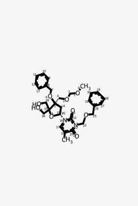 COCOC[C@]1(OCc2ccccc2)C[C@H](n2cc(C)c(=O)n(COCc3ccccc3)c2=O)OC1(CO)CO